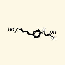 O=C(O)CCCCc1ccc(NCC(O)O)cc1